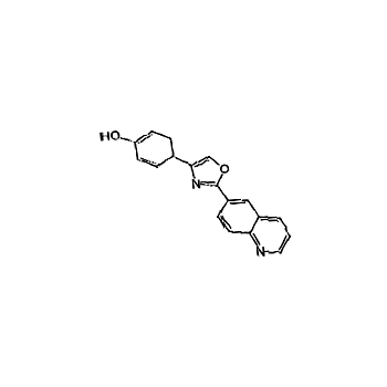 OC1=CCC(c2coc(-c3ccc4ncccc4c3)n2)C=C1